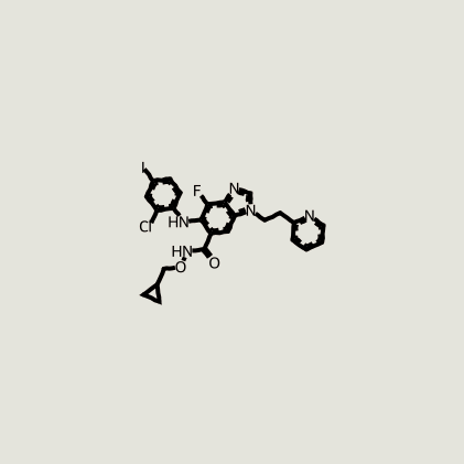 O=C(NOCC1CC1)c1cc2c(ncn2CCc2ccccn2)c(F)c1Nc1ccc(I)cc1Cl